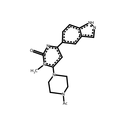 CC(=O)N1CCN(c2cc(-c3ccc4[nH]ncc4c3)nc(=O)n2C)CC1